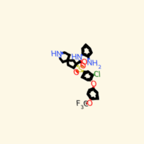 Nc1ccccc1NC(=O)C1(S(=O)(=O)c2ccc(Oc3ccc(OC(F)(F)F)cc3)c(Cl)c2)CCC2(CCNCC2)C1